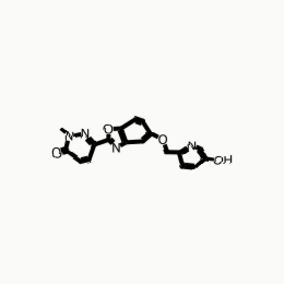 Cn1nc(-c2nc3cc(OCc4ccc(O)cn4)ccc3o2)ccc1=O